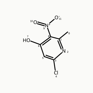 Cc1nc(Cl)cc(O)c1[N+](=O)[O-]